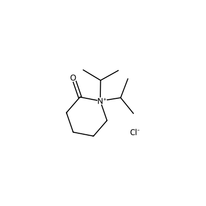 CC(C)[N+]1(C(C)C)CCCCC1=O.[Cl-]